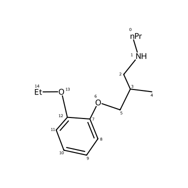 CCCNCC(C)COc1ccccc1OCC